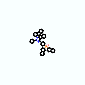 O=P(c1ccc(-c2nc(-c3ccccc3)nc3c2-c2ccccc2C32c3ccccc3-c3ccccc32)cc1)(c1ccc2ccccc2c1)c1ccc2ccccc2c1